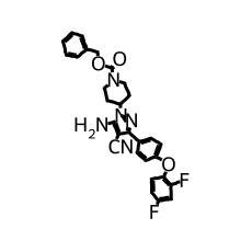 N#Cc1c(-c2ccc(Oc3ccc(F)cc3F)cc2)nn(C2CCN(C(=O)OCc3ccccc3)CC2)c1N